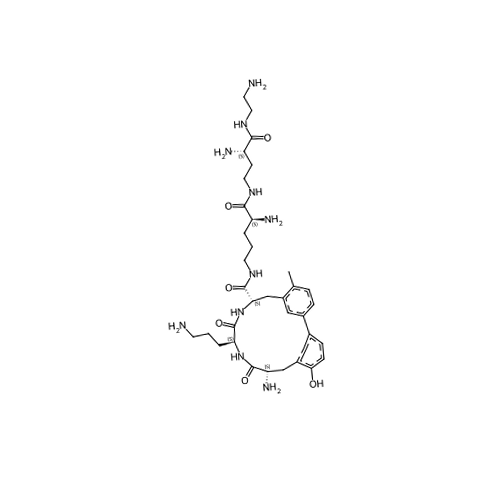 Cc1ccc2cc1C[C@@H](C(=O)NCCC[C@H](N)C(=O)NCC[C@H](N)C(=O)NCCN)NC(=O)[C@H](CCCN)NC(=O)[C@@H](N)Cc1cc-2ccc1O